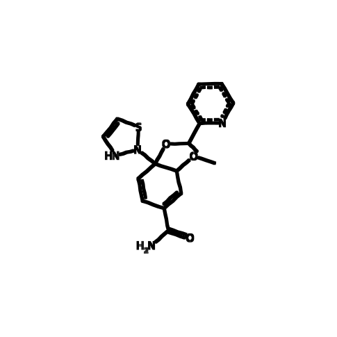 COC1C=C(C(N)=O)C=CC1(OC(C)c1ccccn1)N1NC=CS1